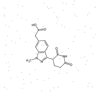 Cn1nc(C2CCC(=O)NC2=O)c2ccc(CC(=O)O)cc21